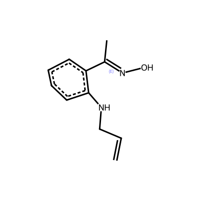 C=CCNc1ccccc1/C(C)=N/O